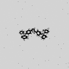 c1ccc(N(c2ccc(-c3ccc(-c4ccc(N(c5ccccc5)c5ccccn5)cc4)o3)cc2)c2ccccn2)cc1